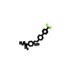 CCC[C@]1(CCC2CCC(c3ccc(C(F)F)cc3)CC2)CC[C@H]([SiH2]C)CC1